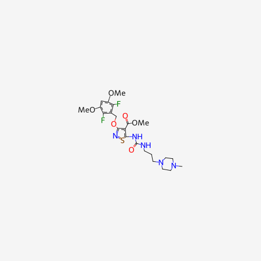 COC(=O)c1c(OCc2c(F)c(OC)cc(OC)c2F)nsc1NC(=O)NCCCN1CCN(C)CC1